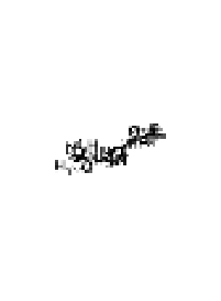 Cc1cnccc1C(=O)NCc1cn2ncc(CNC(=O)CCC(F)(F)F)cc2n1